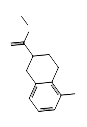 COC(=O)C1CCc2c(Br)cccc2C1